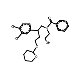 O=C(c1ccccc1)N(CCO)CC(CCOC1CCCCO1)c1ccc(Cl)c(Cl)c1